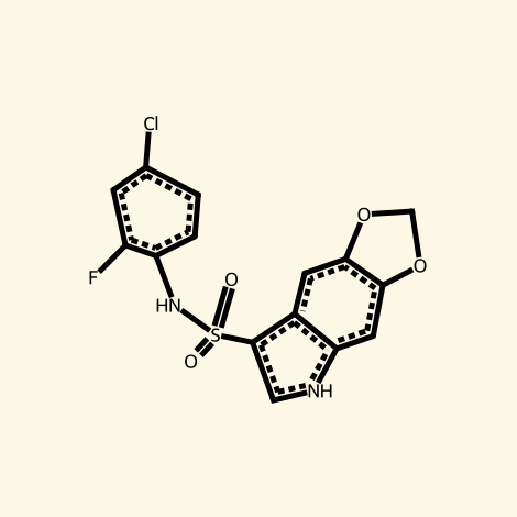 O=S(=O)(Nc1ccc(Cl)cc1F)c1c[nH]c2cc3c(cc12)OCO3